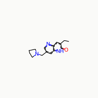 CCc1cc2ncc(CN3CCCC3)cc2[nH]c1=O